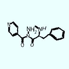 CN[C@@H](Cc1ccccc1)C(=O)N(N)C(=O)c1ccncc1